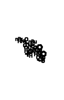 CCCC[C@H](NC(=O)[C@@H]1[C@@H]2[C@H](CN1C(=O)[C@@H](NC(=O)NC1(C3OCCS3(=O)=O)CCCCC1)C1(C)CCCCC1)C2(C)C)C(=O)C(=O)NCCC